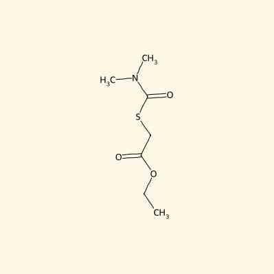 CCOC(=O)CSC(=O)N(C)C